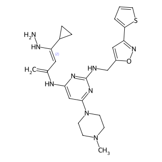 C=C(/C=C(\NN)C1CC1)Nc1cc(N2CCN(C)CC2)nc(NCc2cc(-c3cccs3)no2)n1